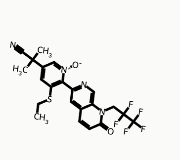 CCSc1cc(C(C)(C)C#N)c[n+]([O-])c1-c1cc2ccc(=O)n(CC(F)(F)C(F)(F)F)c2cn1